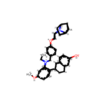 CCN(Cc1ccc(OCCN2C3CCC2CC3)cc1)c1cc(OC)ccc1C1CCc2cc(O)ccc2C1